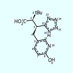 CC(C)(C)[C@H](C(=O)O)[C@H](Cc1ccc(O)nc1)c1nnn[nH]1